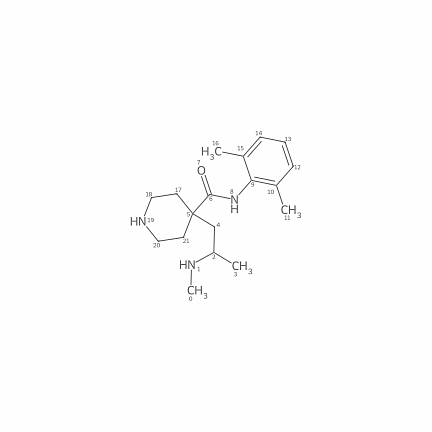 CNC(C)CC1(C(=O)Nc2c(C)cccc2C)CCNCC1